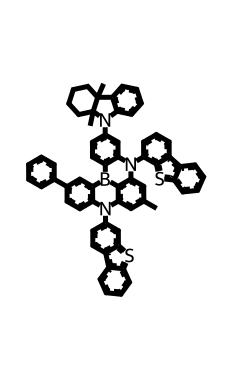 Cc1cc2c3c(c1)N(c1cccc4c1sc1ccccc14)c1cc(N4c5ccccc5C5(C)CCCCC45C)ccc1B3c1cc(-c3ccccc3)ccc1N2c1ccc2c(c1)sc1ccccc12